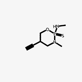 C#CC1COP(=S)(NC)N(C)C1